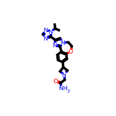 CC(C)n1ncnc1-c1cn2c(n1)-c1ccc(C3CN(CC(N)=O)C3)cc1OCC2